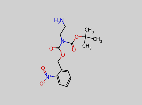 CC(C)(C)OC(=O)N(CCN)C(=O)OCc1ccccc1[N+](=O)[O-]